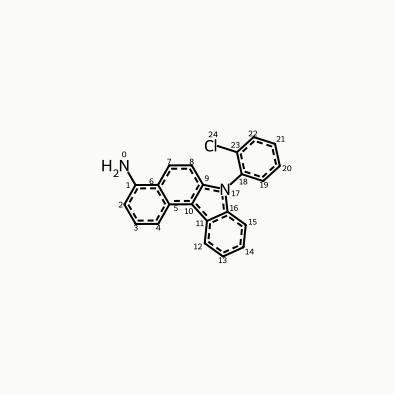 Nc1cccc2c1ccc1c2c2ccccc2n1-c1ccccc1Cl